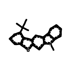 Cn1c2ccccc2c2cc3c(cc21)oc1cccc(C(C)(C)C)c13